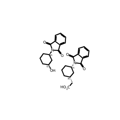 O=C(O)C[C@@H]1CCC[C@H](N2C(=O)c3ccccc3C2=O)C1.O=C1c2ccccc2C(=O)N1[C@@H]1CCC[C@H](O)C1